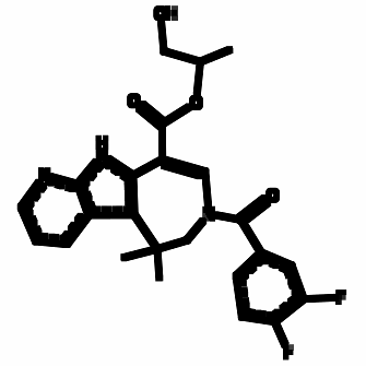 CC(CO)OC(=O)C1=CN(C(=O)c2ccc(F)c(F)c2)CC(C)(C)c2c1[nH]c1ncccc21